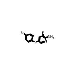 Nc1ncc(Sc2ccc(Br)cc2)cc1F